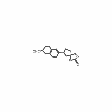 O=CC1CCc2cc([C@H]3CC[C@]4(COC(=O)N4)C3)ccc2C1